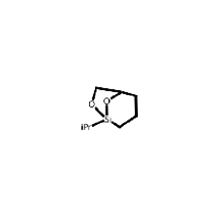 CC(C)[Si]12CCCC(CO1)O2